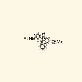 CSOC[C@@H]1CC(=O)c2c([nH]c(-c3ccnc(NC(C)=O)c3)c2Nc2ccccc2)C1